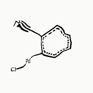 N#Cc1cccc[c]1[Pd][Cl]